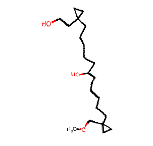 COCC1(CCCCCC(O)CCCCCC2(CCO)CC2)CC1